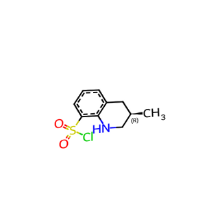 C[C@H]1CNc2c(cccc2S(=O)(=O)Cl)C1